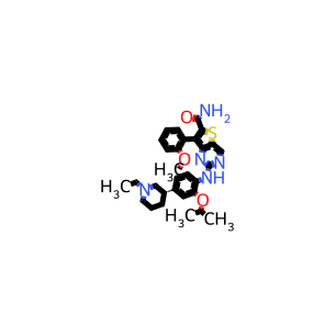 CCN1CCC[C@@H](c2ccc(Nc3ncc4sc(C(N)=O)c(-c5ccccc5OC)c4n3)c(OC(C)C)c2)C1